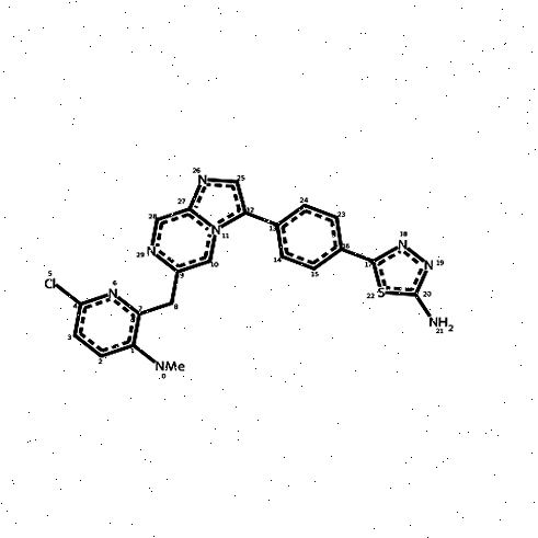 CNc1ccc(Cl)nc1Cc1cn2c(-c3ccc(-c4nnc(N)s4)cc3)cnc2cn1